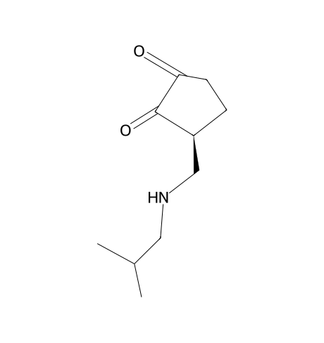 CC(C)CNC[C@@H]1CCC(=O)C1=O